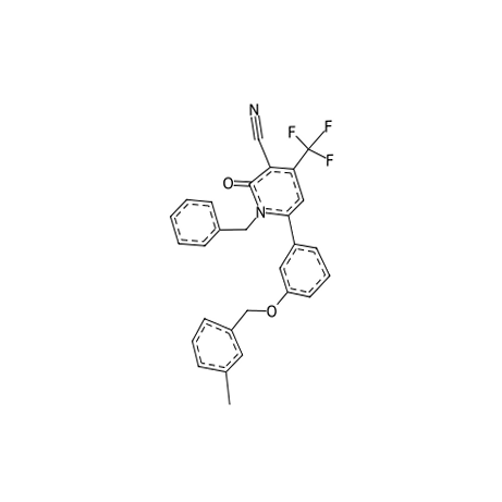 Cc1cccc(COc2cccc(-c3cc(C(F)(F)F)c(C#N)c(=O)n3Cc3ccccc3)c2)c1